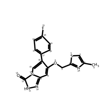 Cc1csc(COc2cc3n[nH]c(=O)n3cc2-c2ccc(F)cc2)n1